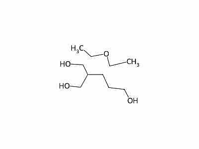 CCOCC.OCCCC(CO)CO